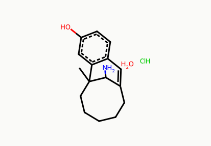 CC12CCCCCC(=Cc3ccc(O)cc31)C2N.Cl.O